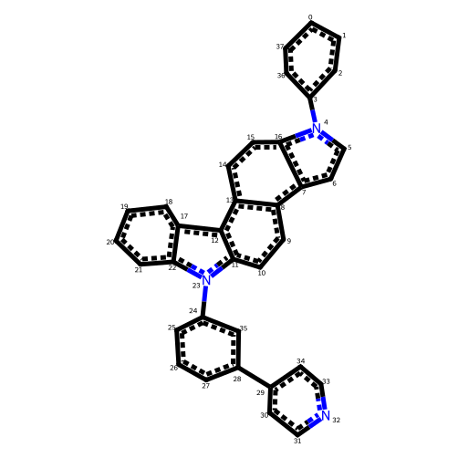 c1ccc(-n2ccc3c4ccc5c(c4ccc32)c2ccccc2n5-c2cccc(-c3ccncc3)c2)cc1